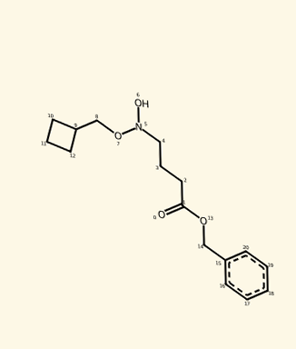 O=C(CCCN(O)OCC1CCC1)OCc1ccccc1